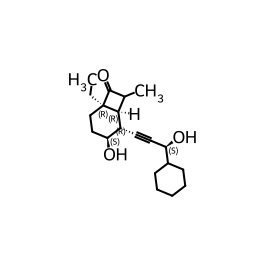 CC[C@@]12CC[C@H](O)[C@@H](C#C[C@@H](O)C3CCCCC3)[C@@H]1C(C)C2=O